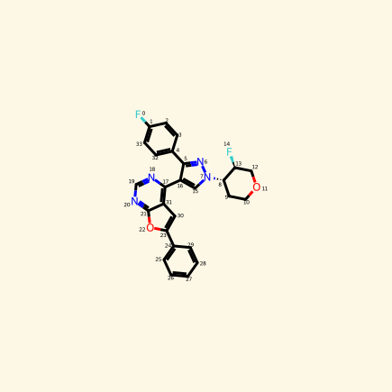 Fc1ccc(-c2nn([C@H]3CCOC[C@@H]3F)cc2-c2ncnc3oc(-c4ccccc4)cc23)cc1